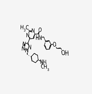 CN[C@H]1CC[C@H](Cn2nnc(-c3cc(C(=O)NCc4cccc(OCCO)c4)nc(C)n3)n2)CC1